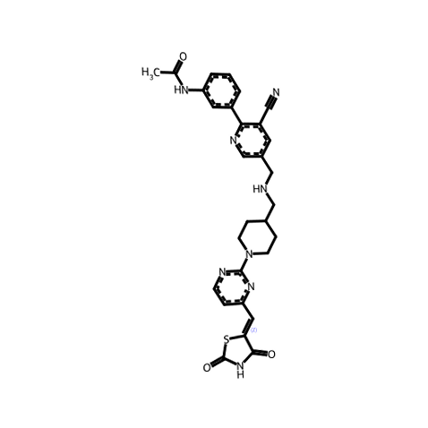 CC(=O)Nc1cccc(-c2ncc(CNCC3CCN(c4nccc(/C=C5\SC(=O)NC5=O)n4)CC3)cc2C#N)c1